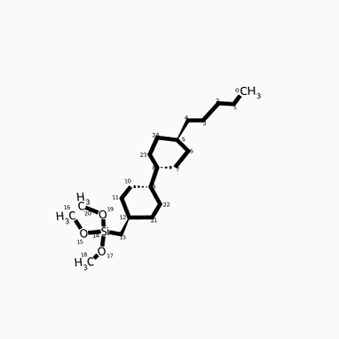 CCCCC[C@H]1CC[C@H]([C@H]2CC[C@H](C[Si](OC)(OC)OC)CC2)CC1